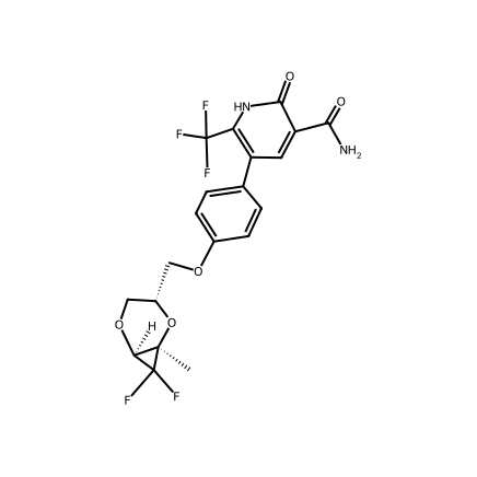 C[C@@]12O[C@@H](COc3ccc(-c4cc(C(N)=O)c(=O)[nH]c4C(F)(F)F)cc3)CO[C@@H]1C2(F)F